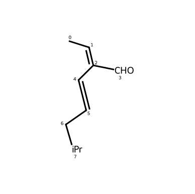 C/C=C(C=O)\C=C\CC(C)C